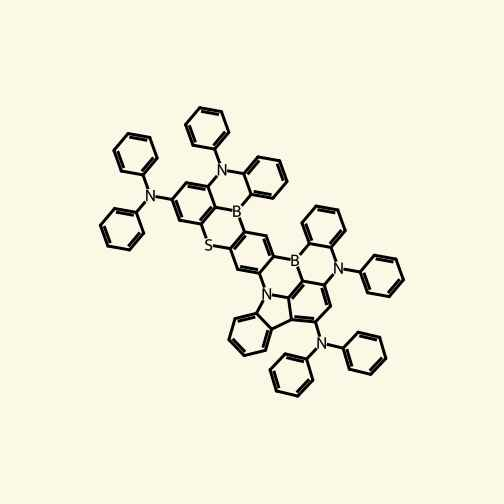 c1ccc(N(c2ccccc2)c2cc3c4c(c2)N(c2ccccc2)c2ccccc2B4c2cc4c(cc2S3)-n2c3ccccc3c3c(N(c5ccccc5)c5ccccc5)cc5c(c32)B4c2ccccc2N5c2ccccc2)cc1